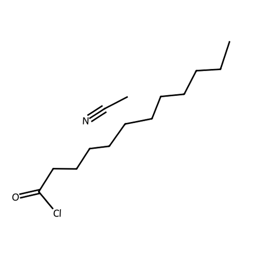 CC#N.CCCCCCCCCCCC(=O)Cl